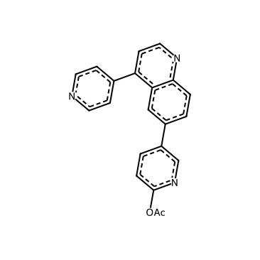 CC(=O)Oc1ccc(-c2ccc3nccc(-c4ccncc4)c3c2)cn1